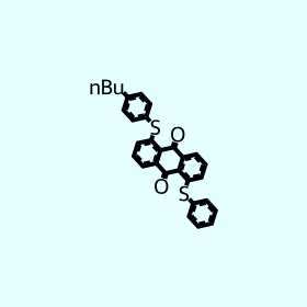 CCCCc1ccc(Sc2cccc3c2C(=O)c2cccc(Sc4ccccc4)c2C3=O)cc1